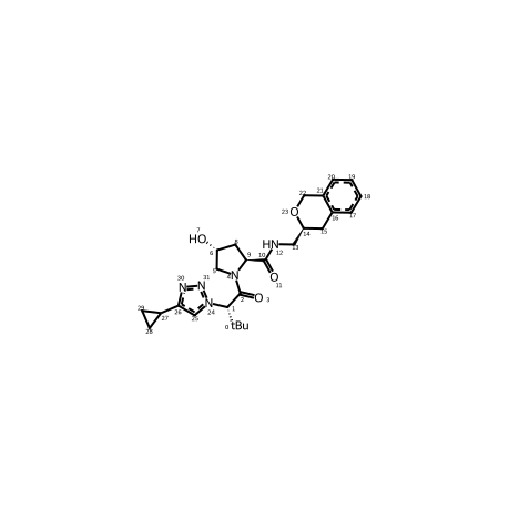 CC(C)(C)[C@@H](C(=O)N1C[C@H](O)C[C@H]1C(=O)NC[C@@H]1Cc2ccccc2CO1)n1cc(C2CC2)nn1